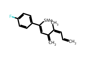 C=C/C=C(/C)C(=C)/C=C(\SC)c1ccc(F)cc1